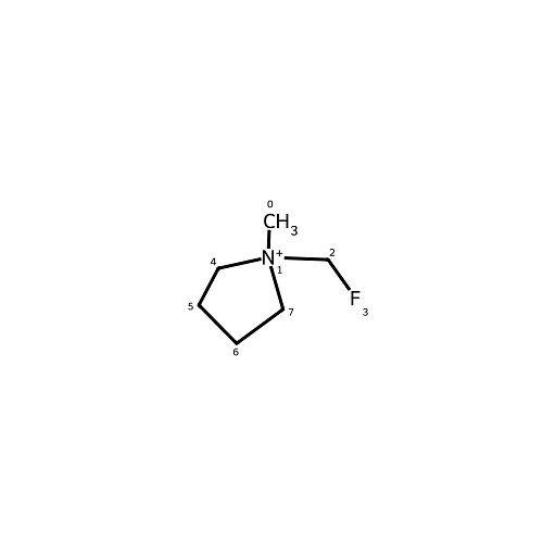 C[N+]1(CF)CCCC1